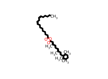 CCCCC/C=C\C/C=C\CCCCCCCC(=O)OC(=O)/C=C(C)/C=C/C=C(C)/C=C/C1=C(C)CCCC1(C)C